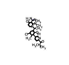 C=Nc1c(/C(N)=N\C)c(=O)ccn1C(C)c1cc(Cl)c(C)c(-c2ccc(C(=O)N(C)C)nc2)c1OCC